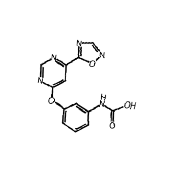 O=C(O)Nc1cccc(Oc2cc(-c3ncno3)ncn2)c1